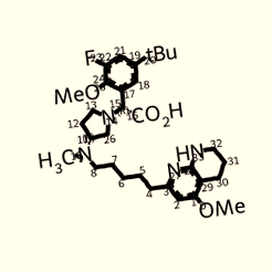 COc1cc(CCCCCN(C)[C@@H]2CCN([C@@H](C(=O)O)c3cc(C(C)(C)C)cc(F)c3OC)C2)nc2c1CCCN2